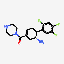 N[C@@H]1CC(C(=O)N2CCNCC2)=CC[C@H]1c1cc(F)c(F)cc1F